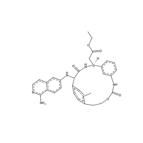 CCOC(=O)C[C@@H]1NC(=O)C(Nc2ccc3c(N)nccc3c2)c2ccc(c(C)c2)CCOC(=O)Nc2cccc1c2